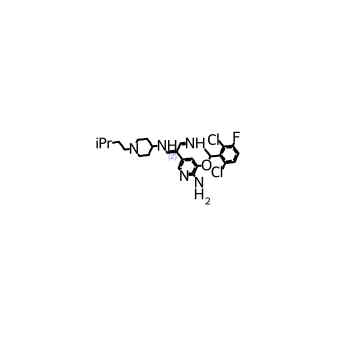 CC(C)CCN1CCC(N/C=C(\C=N)c2cnc(N)c(OC(C)c3c(Cl)ccc(F)c3Cl)c2)CC1